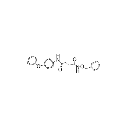 O=C(CCC(=O)Nc1ccc(Oc2ccccc2)cc1)NOCc1ccccc1